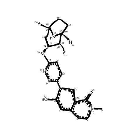 Cn1ccc2cc(O)c(-c3ccc(O[C@H]4C[C@@H]5CC[C@@H](N5)[C@H]4F)nn3)cc2c1=O